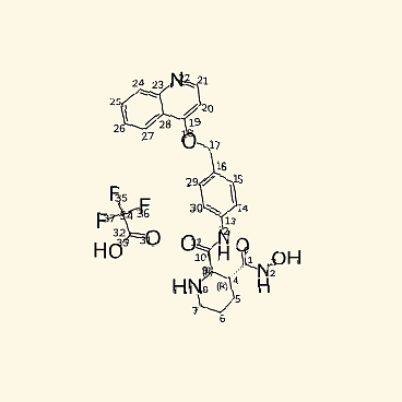 O=C(NO)[C@@H]1CCCN[C@H]1C(=O)Nc1ccc(COc2ccnc3ccccc23)cc1.O=C(O)C(F)(F)F